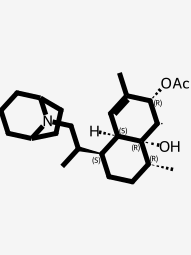 CC(=O)O[C@@H]1[CH][C@@]2(O)[C@H](C)CC[C@@H](C(C)CN3C4CCCC3CC4)[C@H]2C=C1C